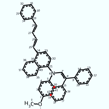 COc1ccc(N(C=C(c2ccccc2)c2ccccc2)c2ccc(C=CC=Cc3ccccc3)c3ccccc23)cc1